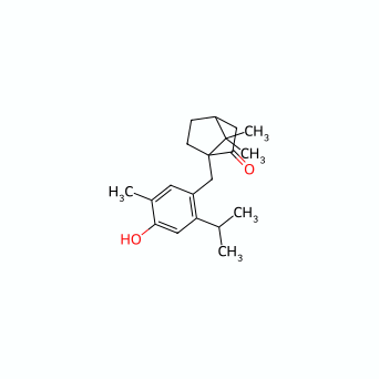 Cc1cc(CC23CCC(CC2=O)C3(C)C)c(C(C)C)cc1O